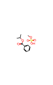 CC(C)OC(=O)c1ccccc1.COS(=O)(=O)O